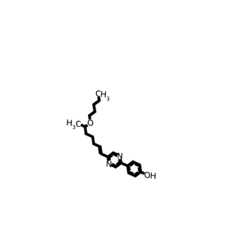 CCCCCOC(C)CCCC=Cc1cnc(-c2ccc(O)cc2)cn1